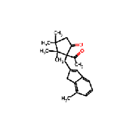 CC(=O)C1(CC2=Cc3cccc(C)c3C2)C(=O)CC(C)(C)C1(C)C